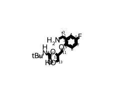 C[C@@H](N)c1cc(F)ccc1OCC(CO)OC(=O)NC(C)(C)C